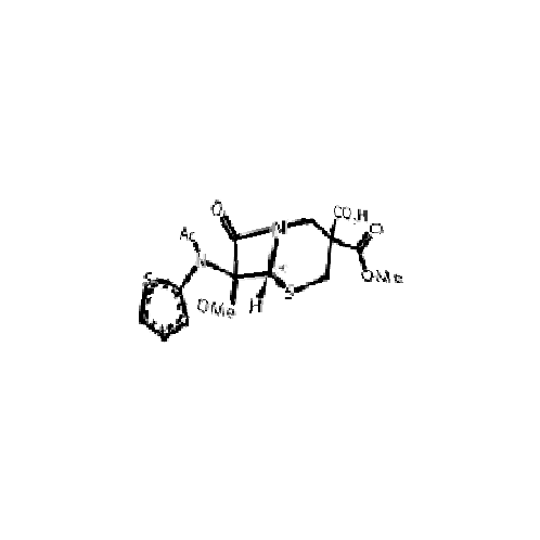 COC(=O)C1(C(=O)O)CS[C@H]2N(C1)C(=O)C2(OC)N(C(C)=O)c1cccs1